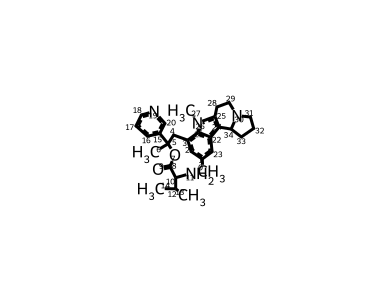 Cc1cc(CC(C)(OC(=O)C(N)C(C)C)c2cccnc2)c2c(c1)c1c(n2C)CCN2CCCC12